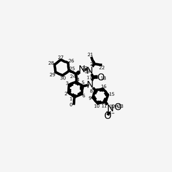 Cc1ccc2c(c1)N(c1ccc([N+](=O)[O-])cc1)C(=O)N(C(C)C)N=C2C1CCCCC1